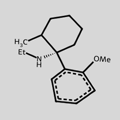 CCN[C@@]1(c2ccccc2OC)CCCCC1C